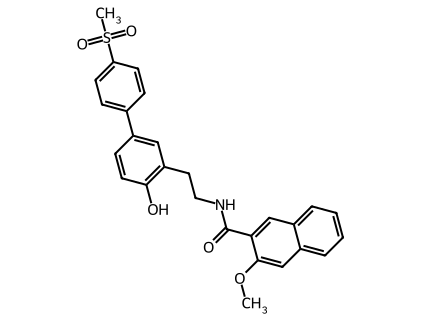 COc1cc2ccccc2cc1C(=O)NCCc1cc(-c2ccc(S(C)(=O)=O)cc2)ccc1O